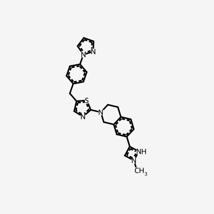 Cn1cc(-c2ccc3c(c2)CN(c2ncc(Cc4ccc(-n5cccn5)cc4)s2)CC3)[nH]1